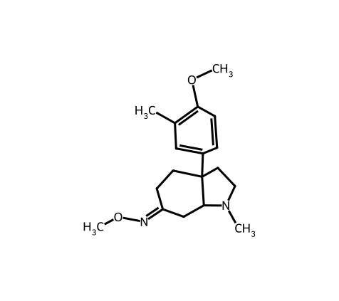 CO/N=C1\CCC2(c3ccc(OC)c(C)c3)CCN(C)C2C1